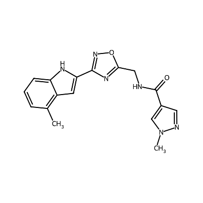 Cc1cccc2[nH]c(-c3noc(CNC(=O)c4cnn(C)c4)n3)cc12